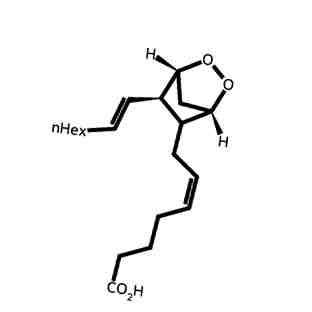 CCCCCC/C=C/[C@@H]1C(C/C=C\CCCC(=O)O)[C@@H]2C[C@H]1OO2